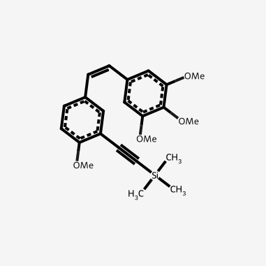 COc1ccc(/C=C\c2cc(OC)c(OC)c(OC)c2)cc1C#C[Si](C)(C)C